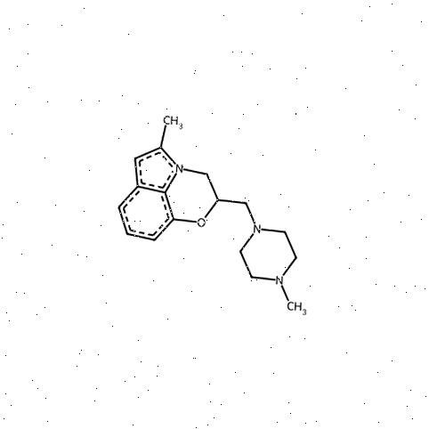 Cc1cc2cccc3c2n1CC(CN1CCN(C)CC1)O3